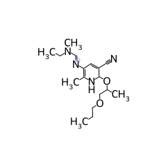 CCCOCC(C)OC1NC(C)=C(/N=C/N(C)CC)C=C1C#N